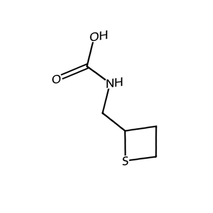 O=C(O)NCC1CCS1